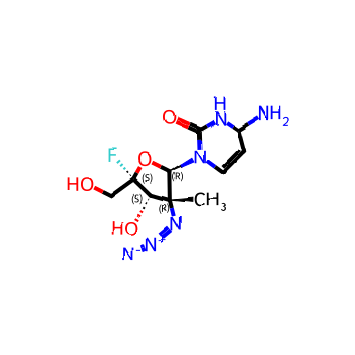 C[C@]1(N=[N+]=[N-])[C@H](N2C=CC(N)NC2=O)O[C@](F)(CO)[C@H]1O